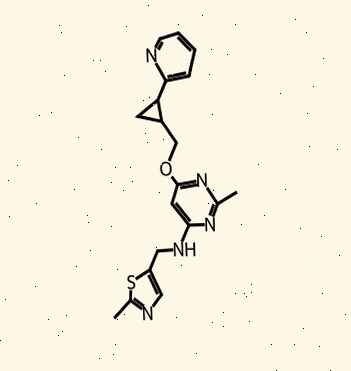 Cc1nc(NCc2cnc(C)s2)cc(OCC2CC2c2ccccn2)n1